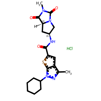 Cc1nn(C2CCCCC2)c2sc(C(=O)N[C@H]3C[C@H]4C(=O)N(C)C(=O)N4C3)cc12.Cl